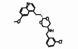 COc1ccc2nccc(CC[C@H]3OC[C@H](NCc4cccc(Cl)c4)CO3)c2c1